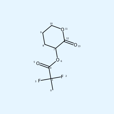 CC(F)(F)C(=O)OC1CCCOC1=O